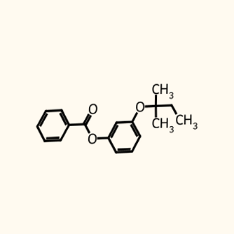 CCC(C)(C)Oc1cccc(OC(=O)c2ccccc2)c1